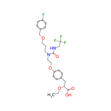 CCOC(Cc1ccc(OCCN(CCCOCc2ccc(F)cc2)C(=O)NCC(F)(F)F)cc1)C(=O)O